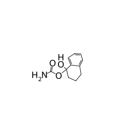 NC(=O)OC1(O)CCCc2ccccc21